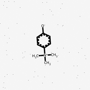 C[N+](C)(C)c1ccc([O-])cc1